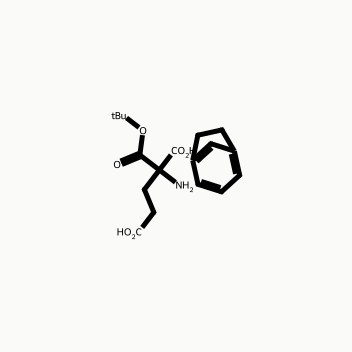 CC(C)(C)OC(=O)C(N)(CCC(=O)O)C(=O)O.c1cc2cc(c1)CC2